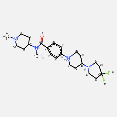 CN1CCC(N(C)C(=O)c2ccc(N3CCC(N4CCC(F)(F)CC4)CC3)cc2)CC1